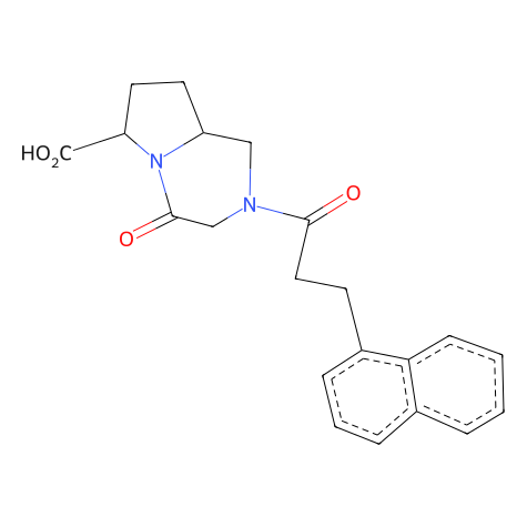 O=C(O)C1CCC2CN(C(=O)CCc3cccc4ccccc34)CC(=O)N21